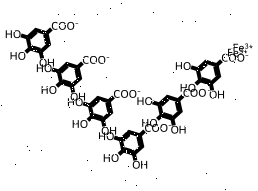 O=C([O-])c1cc(O)c(O)c(O)c1.O=C([O-])c1cc(O)c(O)c(O)c1.O=C([O-])c1cc(O)c(O)c(O)c1.O=C([O-])c1cc(O)c(O)c(O)c1.O=C([O-])c1cc(O)c(O)c(O)c1.O=C([O-])c1cc(O)c(O)c(O)c1.[Fe+3].[Fe+3]